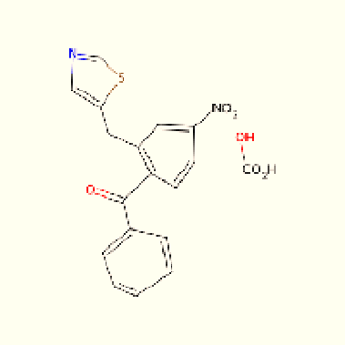 O=C(O)O.O=C(c1ccccc1)c1ccc([N+](=O)[O-])cc1Cc1cncs1